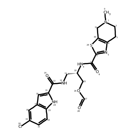 CN1CCc2nc(C(=O)N[C@@H](CNC(=O)c3cc4cc(Cl)ccc4[nH]3)COC=O)sc2C1